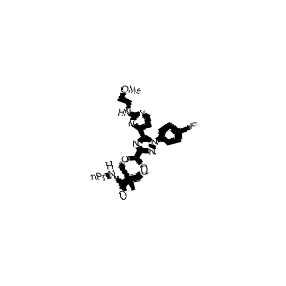 CCCNC(=O)C1(C)COC(c2nc(-c3ccnc(NCCOC)n3)n(-c3ccc(F)cc3)n2)OC1